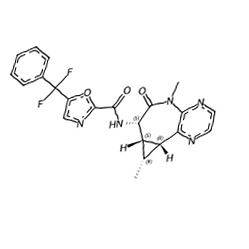 C[C@H]1[C@H]2c3nccnc3N(C)C(=O)[C@@H](NC(=O)c3ncc(C(F)(F)c4ccccc4)o3)[C@@H]12